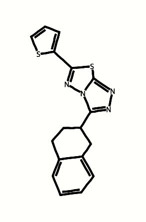 c1csc(-c2nn3c(C4CCc5ccccc5C4)nnc3s2)c1